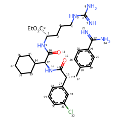 CCOC(=O)[C@H](CCCNC(=N)N)NC(=O)[C@@H](NC(=O)[C@H](Cc1ccc(C(=N)N)cc1)c1cccc(Cl)c1)C1CCCCC1